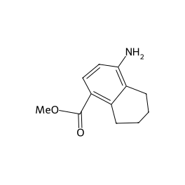 COC(=O)c1ccc(N)c2c1CCCC2